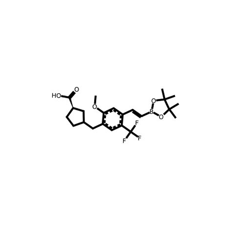 COc1cc(/C=C/B2OC(C)(C)C(C)(C)O2)c(C(F)(F)F)cc1CC1CC[C@@H](C(=O)O)C1